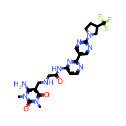 Cn1c(N)c(CNCC(=O)Nc2ccnc(-c3cnc(N4CCC(C(F)(F)F)C4)nc3)n2)c(=O)n(C)c1=O